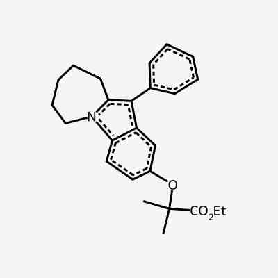 CCOC(=O)C(C)(C)Oc1ccc2c(c1)c(-c1ccccc1)c1n2CCCCC1